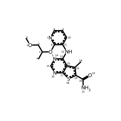 COCC(C)Oc1ncccc1Nc1ncnc2sc(C(N)=O)c(C)c12